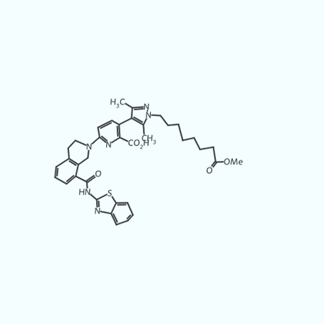 COC(=O)CCCCCCCn1nc(C)c(-c2ccc(N3CCc4cccc(C(=O)Nc5nc6ccccc6s5)c4C3)nc2C(=O)O)c1C